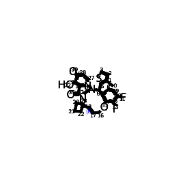 Cc1ccsc1C1c2ccc(F)c(F)c2OC/C=C/C2(CCC2)N2CN1n1ccc(=O)c(O)c1C2=O